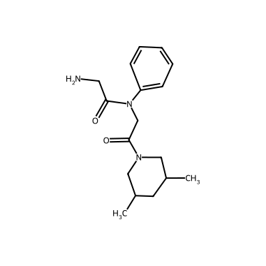 CC1CC(C)CN(C(=O)CN(C(=O)CN)c2ccccc2)C1